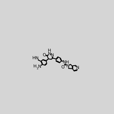 N=Cc1cc(C2CC(c3ccc(NC(=O)N4Cc5ccncc5C4)cc3)=NNC2=O)ccc1N